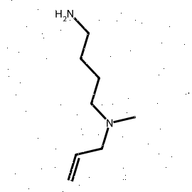 C=CCN(C)CCCCN